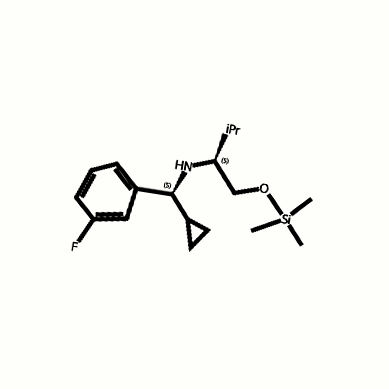 CC(C)[C@@H](CO[Si](C)(C)C)N[C@H](c1cccc(F)c1)C1CC1